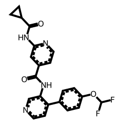 O=C(Nc1cnccc1-c1ccc(OC(F)F)cc1)c1ccnc(NC(=O)C2CC2)c1